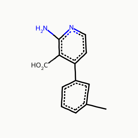 Cc1cccc(-c2ccnc(N)c2C(=O)O)c1